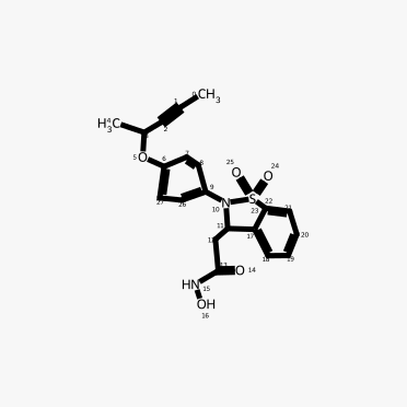 CC#CC(C)Oc1ccc(N2C(CC(=O)NO)c3ccccc3S2(=O)=O)cc1